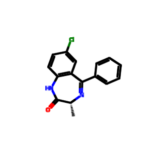 C[C@H]1N=C(c2ccccc2)c2cc(Cl)ccc2NC1=O